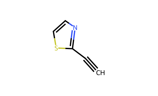 C#Cc1nccs1